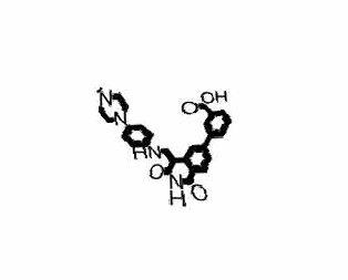 CN1CCN(c2ccc(NC=C3C(=O)NC(=O)c4ccc(-c5cccc(C(=O)O)c5)cc43)cc2)CC1